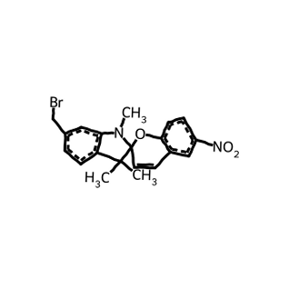 CN1c2cc(CBr)ccc2C(C)(C)C12C=Cc1cc([N+](=O)[O-])ccc1O2